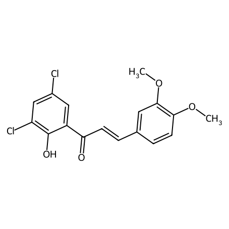 COc1ccc(C=CC(=O)c2cc(Cl)cc(Cl)c2O)cc1OC